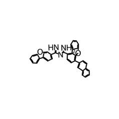 N=C(/N=C(\N)c1ccc(-c2ccc3ccccc3c2)c2oc3ccccc3c12)c1ccc2c(c1)oc1ccccc12